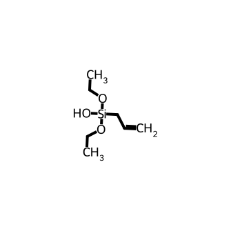 C=CC[Si](O)(OCC)OCC